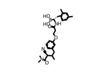 Cc1ccc(C[C@H](NC(=O)CCOc2cccc(CC(C)C(C#N)C(=O)N(C)C)c2)B(O)O)c(C)c1